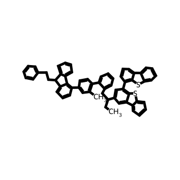 CCC(Cc1ccccc1-c1ccc(-c2cccc3c2-c2ccccc2C3CCc2ccccc2)cc1C)c1cc(-c2cccc3c2sc2ccccc23)c2sc3ccccc3c2c1